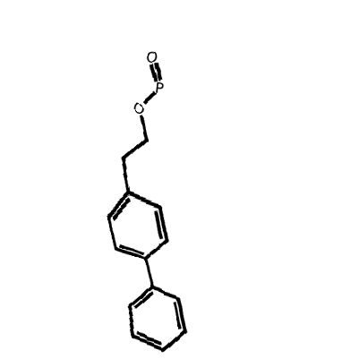 O=POCCc1ccc(-c2ccccc2)cc1